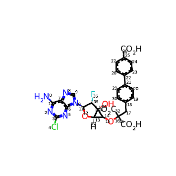 Nc1nc(Cl)nc2c1ncn2[C@@H]1O[C@@H]2C(OC(Cc3ccc(-c4ccc(C(=O)O)cc4)cc3)(C(=O)O)C(=O)O)[C@]2(O)[C@@H]1F